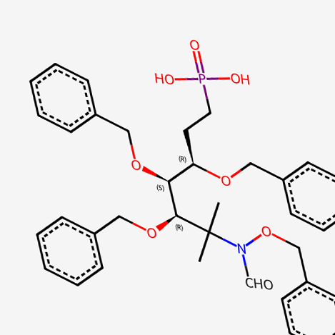 CC(C)([C@@H](OCc1ccccc1)[C@@H](OCc1ccccc1)[C@@H](CCP(=O)(O)O)OCc1ccccc1)N(C=O)OCc1ccccc1